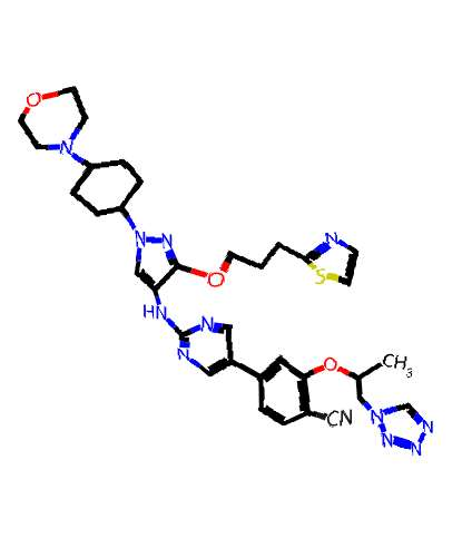 CC(Cn1cnnn1)Oc1cc(-c2cnc(Nc3cn(C4CCC(N5CCOCC5)CC4)nc3OCCCc3nccs3)nc2)ccc1C#N